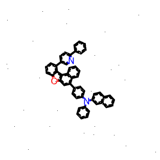 c1ccc(-c2ccc(-c3cccc4oc5cc(-c6ccc(N(c7ccccc7)c7ccc8ccccc8c7)cc6)c6ccccc6c5c34)cn2)cc1